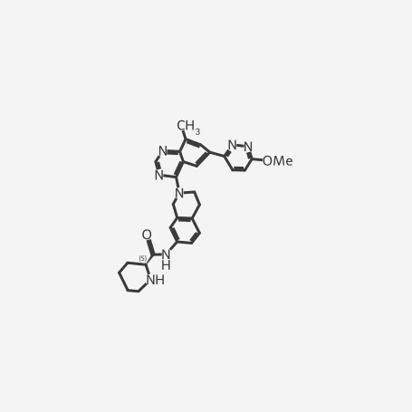 COc1ccc(-c2cc(C)c3ncnc(N4CCc5ccc(NC(=O)[C@@H]6CCCCN6)cc5C4)c3c2)nn1